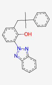 CC(C)(Cc1cccc(-n2nc3ccccc3n2)c1O)c1ccccc1